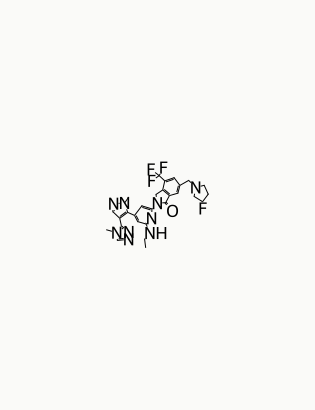 CCNc1cc(-c2c(-c3nncn3C)cnn2C)cc(N2Cc3c(cc(CN4CCC(F)C4)cc3C(F)(F)F)C2=O)n1